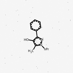 CCCn1nc(-c2ccccc2)c(O)c1C